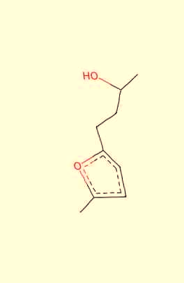 Cc1ccc(CCC(C)O)o1